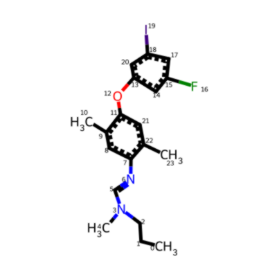 CCCN(C)C=Nc1cc(C)c(Oc2cc(F)cc(I)c2)cc1C